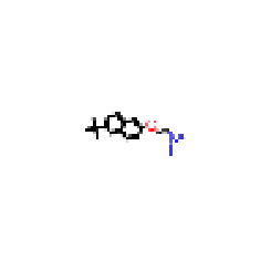 CNCCOc1ccc2cc(C(C)(C)C)ccc2c1